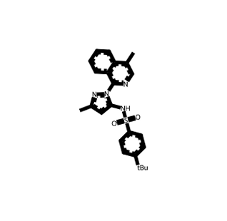 Cc1cc(NS(=O)(=O)c2ccc(C(C)(C)C)cc2)n(-c2ncc(C)c3ccccc23)n1